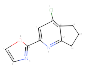 Clc1cc(-c2ncco2)nc2c1CCC2